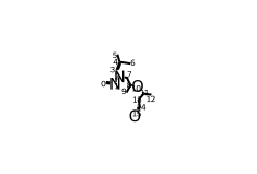 C=NN(C=C(C)C)CC(C)OC(C)CC=O